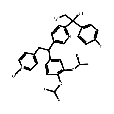 CCC(S)(c1ccc(F)cc1)c1ccc(C(Cc2cc[n+]([O-])cc2)c2ccc(OC(F)F)c(OC(F)F)c2)cn1